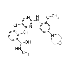 CNC(O)c1ccccc1Nc1nc(Nc2ccc(N3CCOCC3)cc2OC)ncc1Cl